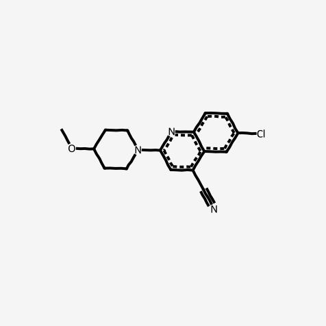 COC1CCN(c2cc(C#N)c3cc(Cl)ccc3n2)CC1